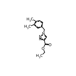 CCOC(=O)c1cn(Cc2ccc(C)c(C)c2)nn1